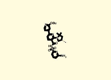 CC(C)COc1cc(-c2ccc(C(=O)NS(=O)(=O)c3cccc(N)n3)c(N3C[C@@H](C)CC3(C)C)n2)ccn1